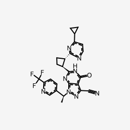 C[C@@H](c1ccc(C(F)(F)F)nc1)n1nc(C#N)c2c(=O)[nH]c([C@H]3CC[C@@H]3c3nccc(C4CC4)n3)nc21